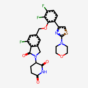 O=C1CCC(N2Cc3cc(COc4c(-c5csc(N6CCOCC6)n5)ccc(F)c4F)cc(F)c3C2=O)C(=O)N1